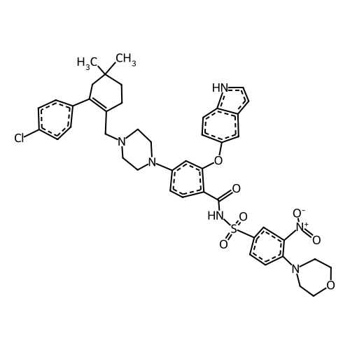 CC1(C)CCC(CN2CCN(c3ccc(C(=O)NS(=O)(=O)c4ccc(N5CCOCC5)c([N+](=O)[O-])c4)c(Oc4ccc5[nH]ccc5c4)c3)CC2)=C(c2ccc(Cl)cc2)C1